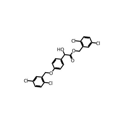 O=C(OCc1cc(Cl)ccc1Cl)C(O)c1ccc(OCc2cc(Cl)ccc2Cl)cc1